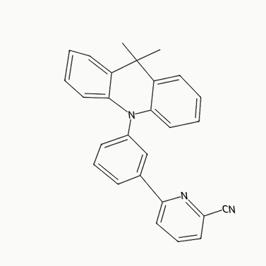 CC1(C)c2ccccc2N(c2cccc(-c3cccc(C#N)n3)c2)c2ccccc21